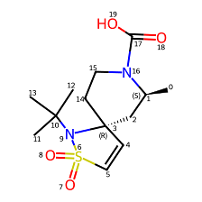 C[C@H]1C[C@@]2(C=CS(=O)(=O)N2C(C)(C)C)CCN1C(=O)O